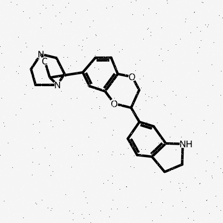 c1cc2c(cc1C1COc3ccc(C4CN5CCN4CC5)cc3O1)NCC2